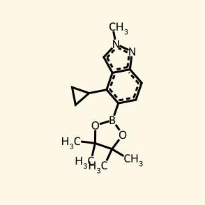 Cn1cc2c(C3CC3)c(B3OC(C)(C)C(C)(C)O3)ccc2n1